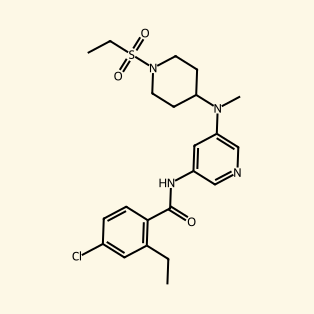 CCc1cc(Cl)ccc1C(=O)Nc1cncc(N(C)C2CCN(S(=O)(=O)CC)CC2)c1